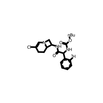 [3H]c1ccccc1C(NC(=O)OCCCC)C(=O)NC1CN2C=C(Cl)CCC12